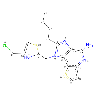 CCCCc1nc2c(N)nc3ccsc3c2n1CC1NC(CCl)=CS1